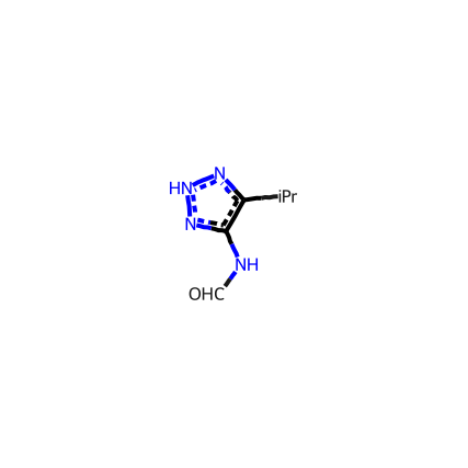 CC(C)c1n[nH]nc1NC=O